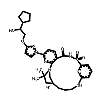 CC1(C)C[C@@H]2CCCNc3cccc(n3)S(=O)(=O)NC(=O)c3ccc(-n4ccc(OCC(O)C5CCCC5)n4)nc3N1C2